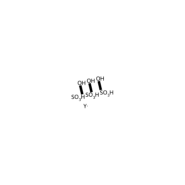 O=S(=O)(O)O.O=S(=O)(O)O.O=S(=O)(O)O.[Y]